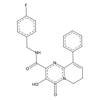 O=C(NCc1ccc(F)cc1)c1nc2n(c(=O)c1O)CCC=C2c1ccccc1